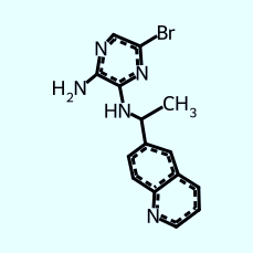 CC(Nc1nc(Br)cnc1N)c1ccc2ncccc2c1